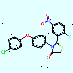 O=C1CSC(c2cc([N+](=O)[O-])ccc2F)N1c1ccc(Oc2ccc(Cl)cc2)cc1